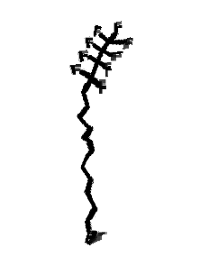 FC(F)(F)C(F)(F)C(F)(F)C(F)(F)CCCCCCCCCCCBr